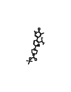 Cc1cc(-c2ccc(N3CCN(C(=O)OC(C)(C)C)CC3)nc2C(F)F)cn(C)c1=O